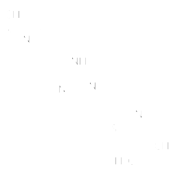 CSN1CCC(Nc2ncc(F)c(-c3cnc(C(C)C)s3)n2)CC1